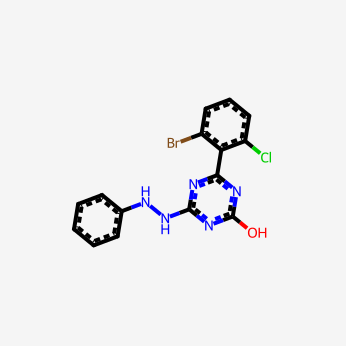 Oc1nc(NNc2ccccc2)nc(-c2c(Cl)cccc2Br)n1